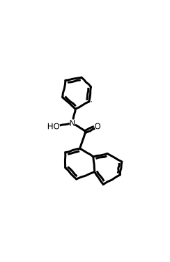 O=C(c1cccc2ccccc12)N(O)c1[c]cccc1